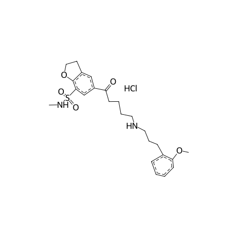 CNS(=O)(=O)c1cc(C(=O)CCCCNCCCc2ccccc2OC)cc2c1OCC2.Cl